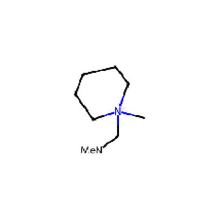 CNC[N+]1(C)CCCCC1